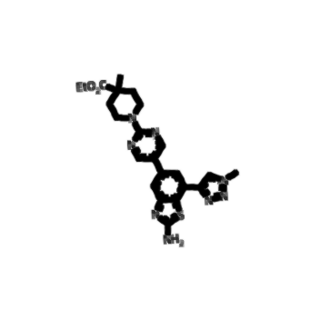 CCOC(=O)C1(C)CCN(c2ncc(-c3cc(-c4cn(C)nn4)c4sc(N)nc4c3)cn2)CC1